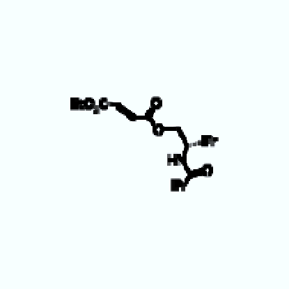 CCOC(=O)/C=C/C(=O)OC[C@@H](NC(=O)C(C)C)C(C)C